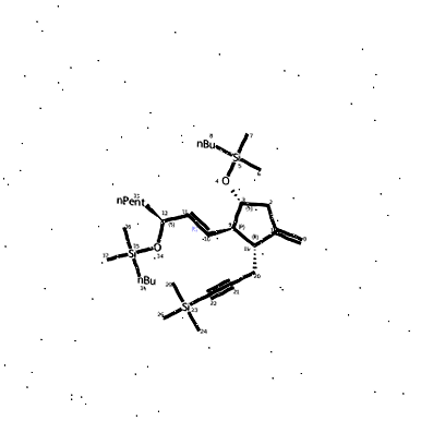 C=C1C[C@@H](O[Si](C)(C)CCCC)[C@H](/C=C/[C@H](CCCCC)O[Si](C)(C)CCCC)[C@H]1CC#C[Si](C)(C)C